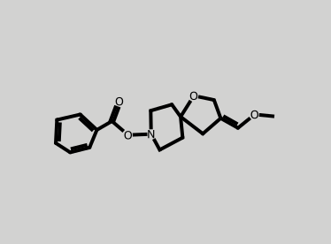 CO/C=C1\COC2(CCN(OC(=O)c3ccccc3)CC2)C1